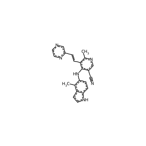 Cc1ncc(C#N)c(Nc2ccc3[nH]ccc3c2C)c1/C=C/c1cnccn1